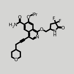 CC(C)Oc1cc2c(OCC3CC(F)(F)C(=O)N3)ncc(C#CCC3CCOCC3)c2cc1C(N)=O